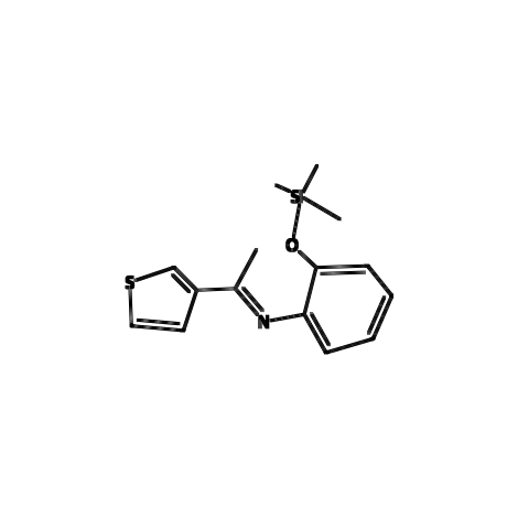 CC(=Nc1ccccc1O[Si](C)(C)C)c1ccsc1